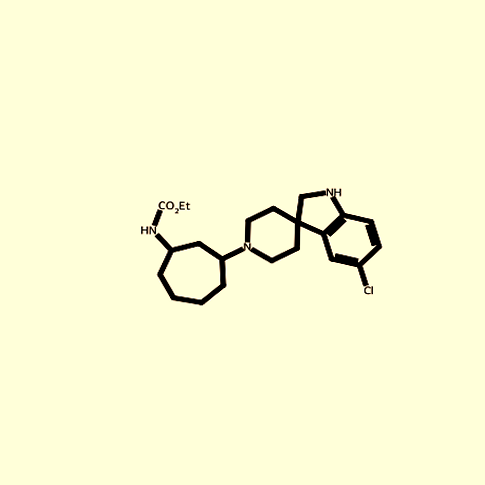 CCOC(=O)NC1CCCCC(N2CCC3(CC2)CNc2ccc(Cl)cc23)C1